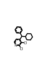 Clc1nccc(C(c2ccccc2)C2CCCCC2)c1Cl